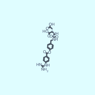 N=C(N)Nc1ccc(C(=O)Oc2ccc(CNS(=O)(=O)N[C@@H](CC(=O)O)C(=O)O)cc2)cc1